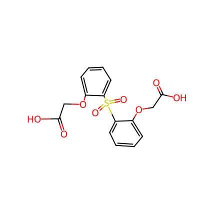 O=C(O)COc1ccccc1S(=O)(=O)c1ccccc1OCC(=O)O